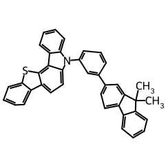 CC1(C)c2ccccc2-c2ccc(-c3cccc(-n4c5ccccc5c5c6sc7ccccc7c6ccc54)c3)cc21